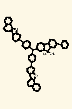 CC1(C)c2cc(-c3ccccc3)ccc2-c2ccc(C(c3ccc(-c4ccc5c(c4)oc4c6ccccc6ccc54)cc3)c3ccc(-c4ccc5c(c4)oc4c6ccccc6ccc54)cc3)cc21